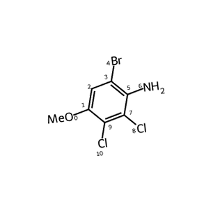 COc1cc(Br)c(N)c(Cl)c1Cl